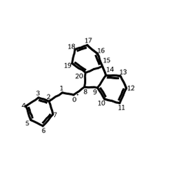 [CH](Cc1ccccc1)C1c2ccccc2-c2ccccc21